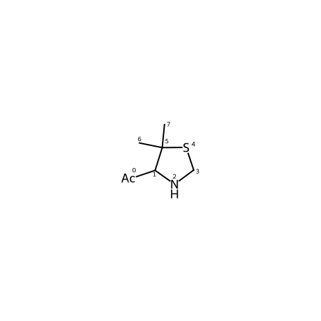 CC(=O)C1NCSC1(C)C